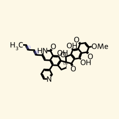 C/C=C/C=C/c1cc2c(-c3cccnc3)c3c(c(O)c2c(=O)[nH]1)[C@@]1(CC3)C(=O)c2c(O)c3c(c(O)c2C1=O)C(=O)C(OC)=CC3=O